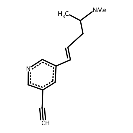 C#Cc1cncc(/C=C/CC(C)NC)c1